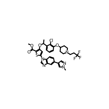 COC(=O)c1sc(-n2cnc3cc(-c4cnn(C)c4)ccc32)cc1OC(C)c1cccc(OC2CCN(CCC(F)(F)F)CC2)c1Cl